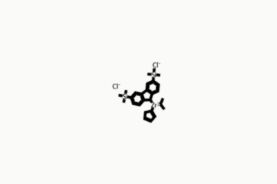 C[C](C)=[Zr+2]([C]1=CC=CC1)[CH]1c2ccc([Si](C)(C)C)cc2-c2cc([Si](C)(C)C)ccc21.[Cl-].[Cl-]